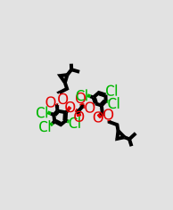 CC(C)C1CC1CCOC(=O)c1c(Cl)c(Cl)cc(Cl)c1OC(=O)C(=O)Oc1c(Cl)cc(Cl)c(Cl)c1C(=O)OCCC1CC1C(C)C